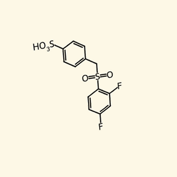 O=S(=O)(O)c1ccc(CS(=O)(=O)c2ccc(F)cc2F)cc1